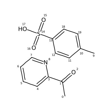 CC(=O)c1ccccn1.Cc1ccc(S(=O)(=O)O)cc1